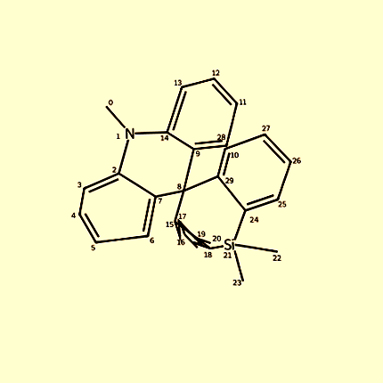 CN1c2ccccc2C2(c3ccccc31)c1ccccc1[Si](C)(C)c1ccccc12